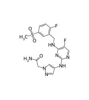 CS(=O)(=O)c1ccc(F)c(CNc2nc(Nc3cnn(CC(N)=O)c3)ncc2F)c1